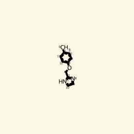 Cc1ccc(OCc2ncc[nH]2)cc1